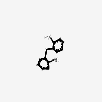 O=C(O)c1ccccc1Cc1ccccc1[N+](=O)[O-]